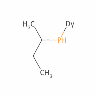 CCC(C)[PH][Dy]